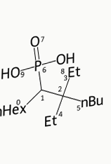 CCCCCCC(C(CC)(CC)CCCC)P(=O)(O)O